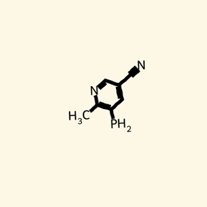 Cc1ncc(C#N)cc1P